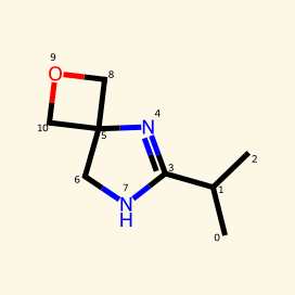 CC(C)C1=NC2(CN1)COC2